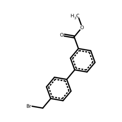 COC(=O)c1cccc(-c2ccc(CBr)cc2)c1